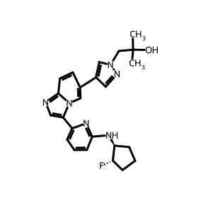 CC(C)(O)Cn1cc(-c2ccc3ncc(-c4cccc(N[C@H]5CCC[C@@H]5F)n4)n3c2)cn1